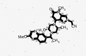 COc1cnc2cc(C(C)N3C[C@H](C)N(c4cc(=O)n(C)c5cn(CC#N)nc45)C[C@H]3C)ccc2n1